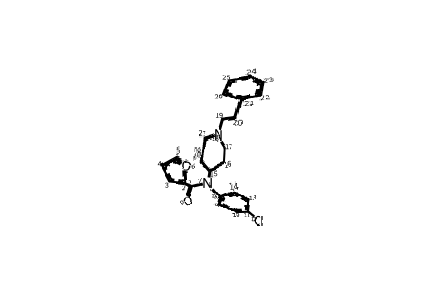 O=C(c1ccco1)N(c1ccc(Cl)cc1)C1CCN(CCc2ccccc2)CC1